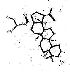 C=C(C)[C@@H]1CC[C@]2(C(=O)NC(CC(C)C)C(=O)O)CC[C@]3(C)[C@H](CC[C@@H]4[C@@]5(C)CC[C@H](O)C(C)(C)[C@@H]5CC[C@]43C)[C@@H]12